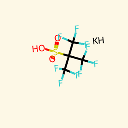 O=S(=O)(O)C(C(F)(F)F)(C(F)(F)F)C(F)(F)F.[KH]